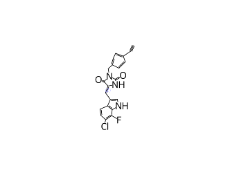 C#Cc1ccc(CN2C(=O)N/C(=C\c3c[nH]c4c(F)c(Cl)ccc34)C2=O)cc1